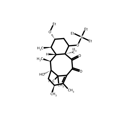 CCO[C@@H]1CC(O[Si](CC)(CC)CC)[C@@]2(C)C(=O)C(=O)C3=C(C)[C@@H](C)C[C@@](O)([C@@H](C)[C@@H]2[C@H]1C)C3(C)C